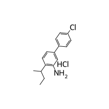 CCC(C)c1ccc(-c2ccc(Cl)cc2)cc1N.Cl